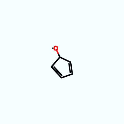 [O]C1C=CC=C1